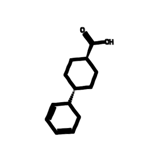 O=C(O)[C@H]1CC[C@H](C2C=CC=CC2)CC1